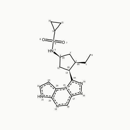 CC[C@@H]1C[C@H](NS(=O)(=O)C2CC2)C[C@@H]1c1nnc2cnc3[nH]ccc3n12